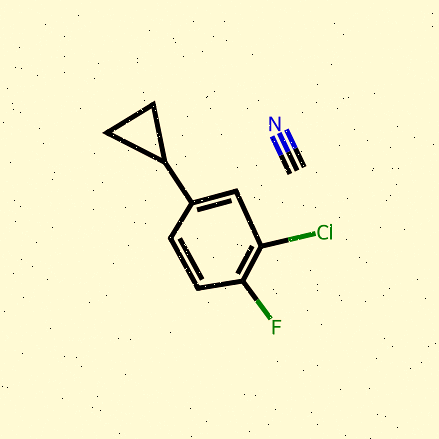 C#N.Fc1ccc(C2CC2)cc1Cl